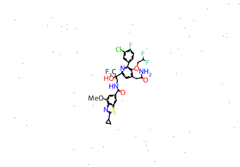 COc1cc(C(=O)NC[C@](O)(c2cc(CC(N)=O)c(OCC(F)F)c(-c3ccc(F)c(Cl)c3)n2)C(F)(F)F)cc2sc(C3CC3)nc12